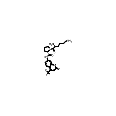 NCCCC[C@H](N)C(=O)N1CCC[C@H]1C(=O)Nc1ccc2c(C(F)(F)F)cc(=O)oc2c1